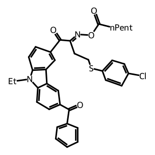 CCCCCC(=O)O/N=C(\CCSc1ccc(Cl)cc1)C(=O)c1ccc2c(c1)c1cc(C(=O)c3ccccc3)ccc1n2CC